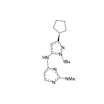 CNc1nccc(Nc2cc([C@H]3C[CH]CC3)nn2C(C)(C)C)n1